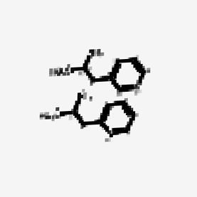 N[C@@H](Cc1ccccn1)C(=O)O.N[C@@H](Cc1cccnc1)C(=O)O